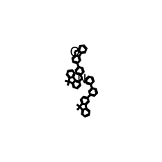 CC1(C)c2ccccc2-c2cc(-c3cccc(-c4cccc(N(c5ccc(-c6ccc7oc8ccccc8c7c6)cc5)c5cccc6c5-c5ccccc5C6(C)C)c4)c3)ccc21